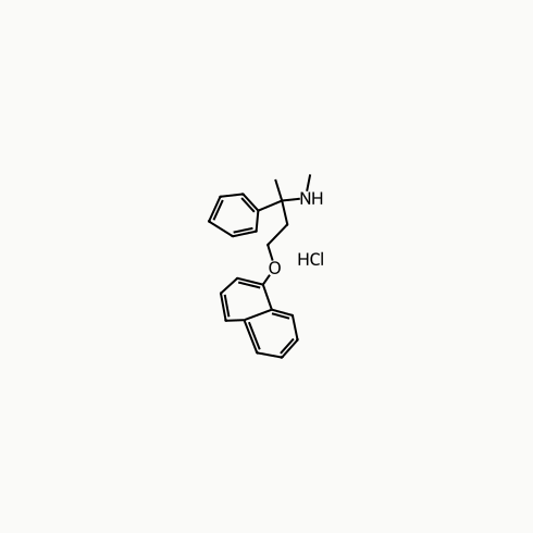 CNC(C)(CCOc1cccc2ccccc12)c1ccccc1.Cl